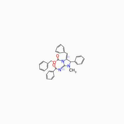 CN1/C(=N/C(=O)c2ccccc2)N(C(=O)OCc2ccccc2)/C(=C\c2ccccc2)C1c1ccccc1